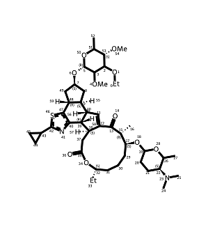 CCOC1C(OC)[C@H](O[C@H]2C[C@H]3[C@@H]4C=C5C(=O)[C@H](C)[C@@H](OC6CC[C@H](N(C)C)C(C)O6)CCC[C@H](CC)OC(=O)C[C@H]5[C@@H]4c4nc(C5CC5)sc4[C@@H]3C2)OC(C)[C@@H]1OC